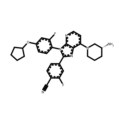 N#Cc1ccc(-c2nc3c(N4CCC[C@@H](N)C4)ccnc3n2-c2ccc(OC3CCCC3)cc2F)cc1F